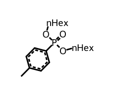 CCCCCCOP(=O)(OCCCCCC)c1ccc(C)cc1